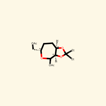 CCC1(CC)O[C@@H]2CC[C@@H](COC(C)=O)OC(OC(C)=O)[C@@H]2O1